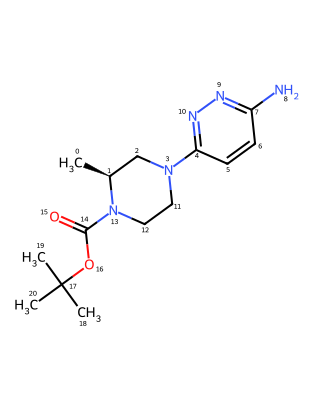 C[C@H]1CN(c2ccc(N)nn2)CCN1C(=O)OC(C)(C)C